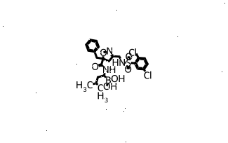 CC(C)CC(NC(=O)C1(Cc2ccccc2)CC(CNS(=O)(=O)c2cc(Cl)ccc2Cl)=NO1)B(O)O